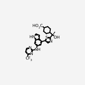 C[C@@](O)(c1ncc(-c2cc(Nc3nccc(C(F)(F)F)n3)cc3[nH]ccc23)s1)C1CCC(C(=O)O)CC1